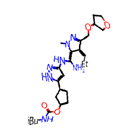 CC/C=c1/c(COC2CCOC2)nn(C)/c1=C(/N)Nc1cc(C2CCC(OC(=O)NC(C)CC)C2)[nH]n1